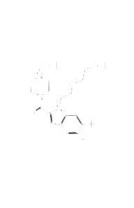 O=C(O)N1CCN(C(=O)c2cc3cc(F)c(F)cc3n2CCOCCO)CC1